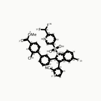 COC(=O)c1ccc(-c2cccc(-c3c(-c4ccsc4C#N)c4cc(F)ccc4n3S(=O)(=O)c3ccc(C(F)F)nc3)c2)c(Cl)c1